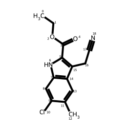 CCOC(=O)c1[nH]c2cc(Cl)c(C)cc2c1CC#N